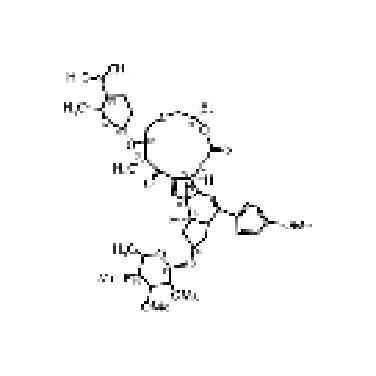 CC[C@H]1CCC[C@H](O[C@H]2CC[C@H](N(C)C)C(C)O2)[C@@H](C)C(=O)C2=C[C@@H]3C(C=C(c4ccc(OC)cc4)C4C[C@@H](O[C@@H]5OC(C)[C@H](OC)C(OC)C5OC)C[C@H]43)[C@@H]2CC(=O)O1